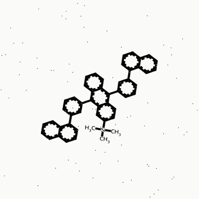 C[Si](C)(C)c1ccc2c(-c3cccc(-c4cccc5ccccc45)c3)c3ccccc3c(-c3cccc(-c4cccc5ccccc45)c3)c2c1